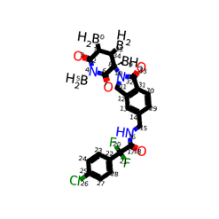 BC1C(=O)N(B)C(=O)[C@](B)(N2Cc3cc(CNC(=O)C(F)(F)c4ccc(Cl)cc4)ccc3C2=O)C1B